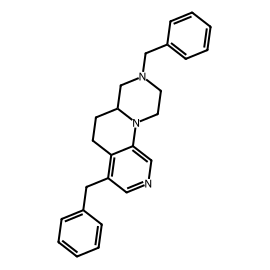 c1ccc(Cc2cncc3c2CCC2CN(Cc4ccccc4)CCN32)cc1